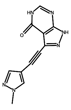 Cn1cc(C#Cc2n[nH]c3nc[nH]c(=O)c23)cn1